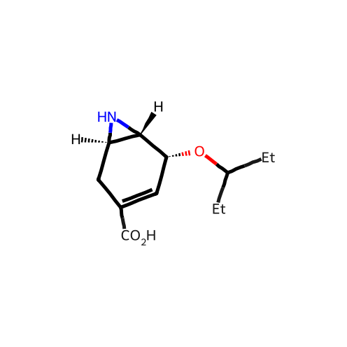 CCC(CC)O[C@@H]1C=C(C(=O)O)C[C@H]2N[C@@H]21